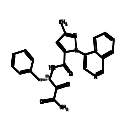 Cc1cc(C(=O)N[C@@H](Cc2ccccc2)C(=O)C(N)=O)n(-c2cncc3ccccc23)n1